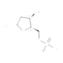 CO[C@@H]1C[C@@H](O)O[C@@H]1COP(C)(=O)O